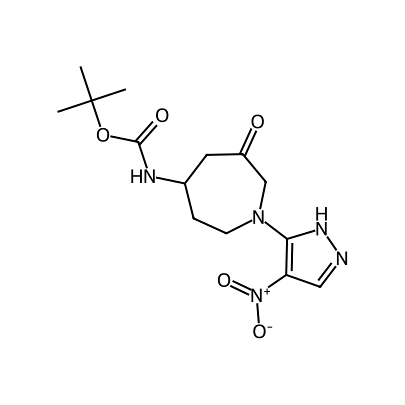 CC(C)(C)OC(=O)NC1CCN(c2[nH]ncc2[N+](=O)[O-])CC(=O)C1